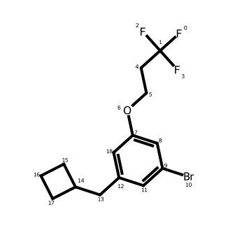 FC(F)(F)CCOc1cc(Br)cc(CC2CCC2)c1